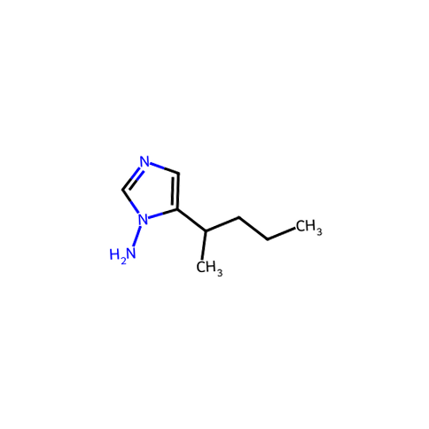 CCCC(C)c1cncn1N